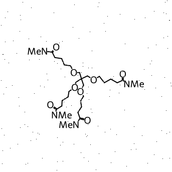 CNC(=O)CCCCOCC(COCCCCC(=O)NC)(COCCCCC(=O)NC)COCCCCC(=O)NC